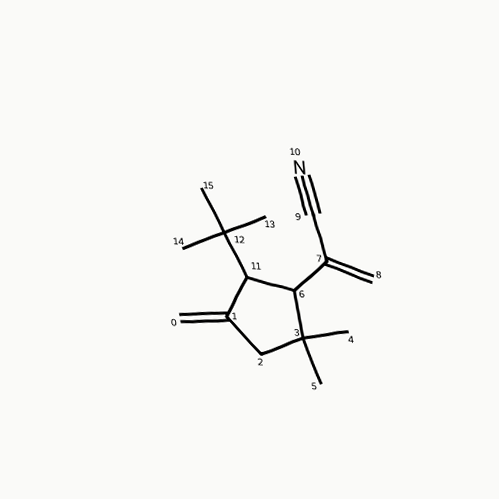 C=C1CC(C)(C)C(C(=C)C#N)C1C(C)(C)C